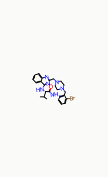 CC(C)[C@H](Nc1nc(CN2CCN(Cc3ccccc3Br)CC2)nc2ccccc12)C(N)=O